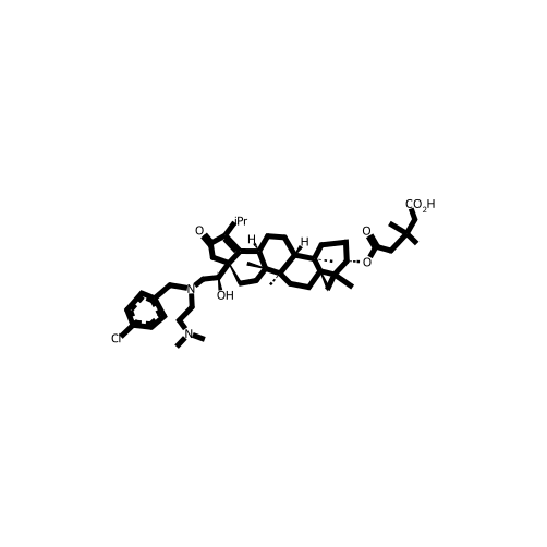 CC(C)C1=C2[C@H]3CC[C@@H]4[C@@]5(C)CC[C@H](OC(=O)CC(C)(C)CC(=O)O)C6(C)C[C@]65CC[C@@]4(C)[C@]3(C)CC[C@@]2([C@@H](O)CN(CCN(C)C)Cc2ccc(Cl)cc2)CC1=O